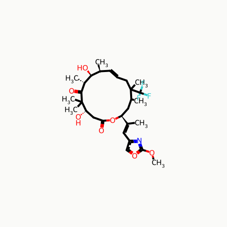 COc1nc(/C=C(\C)[C@@H]2CC(C)C(C)(C(F)(F)F)C/C=C/[C@H](C)[C@H](O)[C@@H](C)C(=O)C(C)(C)[C@@H](O)CC(=O)O2)co1